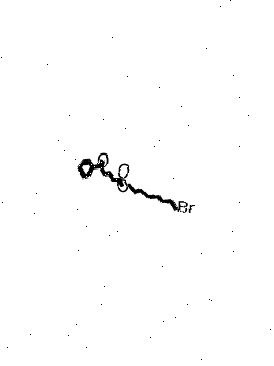 O=C(CCCC(=O)c1ccccc1)OCCCCCCCCBr